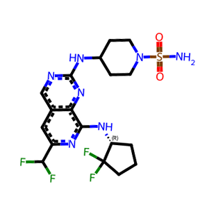 NS(=O)(=O)N1CCC(Nc2ncc3cc(C(F)F)nc(N[C@@H]4CCCC4(F)F)c3n2)CC1